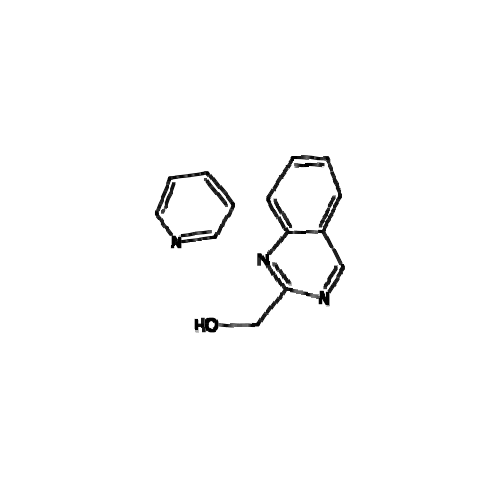 OCc1ncc2ccccc2n1.c1ccncc1